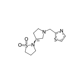 O=S1(=O)CCCN1[C@H]1CCN(Cc2nccs2)C1